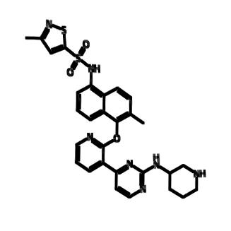 Cc1cc(S(=O)(=O)Nc2cccc3c(Oc4ncccc4-c4ccnc(NC5CCCNC5)n4)c(C)ccc23)sn1